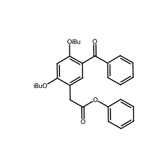 CC(C)COc1cc(OCC(C)C)c(C(=O)c2ccccc2)cc1CC(=O)Oc1ccccc1